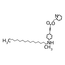 CCCCCCCCCCCCCCC(C)Nc1ccc(C#CC(=O)OCc2ccccn2)cc1